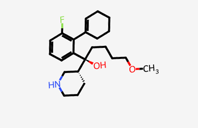 COCCCC[C@@](O)(c1cccc(F)c1C1=CCCCC1)[C@@H]1CCCNC1